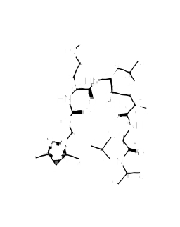 CSCC[C@H](NC(=O)OCn1nc(C)cc1C)C(=O)N[C@@H](CC(C)C)[C@@H](O)C[C@@H](C)C(=O)N[C@@H](CC(C)C)C(=O)NC(C)C